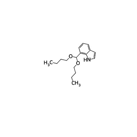 CCCCOC(OCCCC)c1cccc2cc[nH]c12